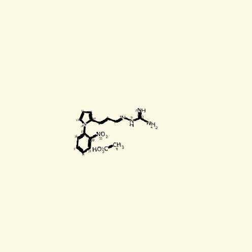 CC(=O)O.N=C(N)N/N=C/C=C/c1cccn1-c1ccccc1[N+](=O)[O-]